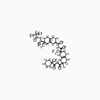 CCC(C)(CC)C(=O)CC(=O)C1(C(F)(F)F)CCC2=C(CC(C(=O)CC(=O)C3(C(F)(F)F)CCC4=C(CC(C)(C(=O)CC(=O)C5(C(F)(F)F)CCCCC5)CC4)C3)CC2)C1